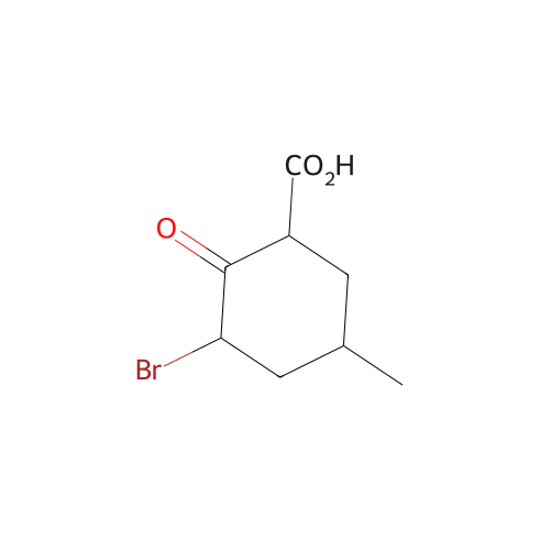 CC1CC(Br)C(=O)C(C(=O)O)C1